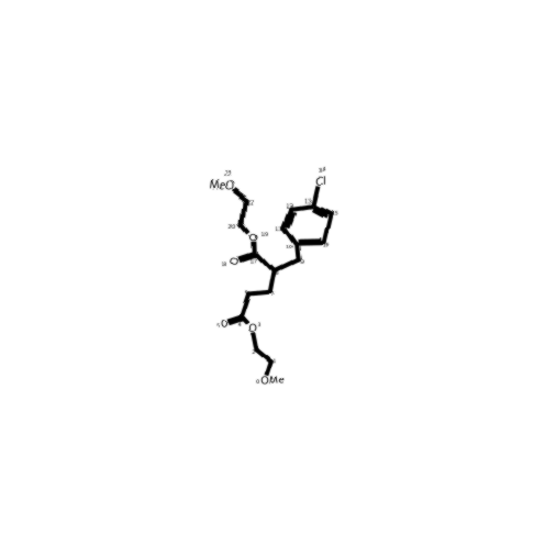 COCCOC(=O)CCC(Cc1ccc(Cl)cc1)C(=O)OCCOC